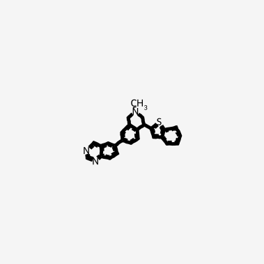 CN1Cc2cc(-c3ccc4ncncc4c3)ccc2C(c2cc3ccccc3s2)C1